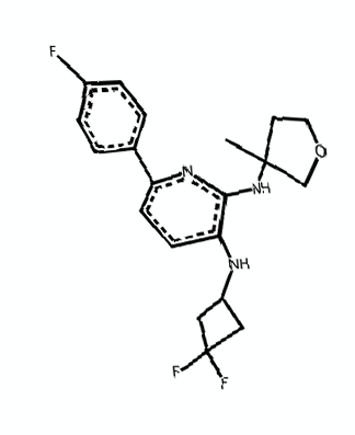 CC1(Nc2nc(-c3ccc(F)cc3)ccc2NC2CC(F)(F)C2)CCOC1